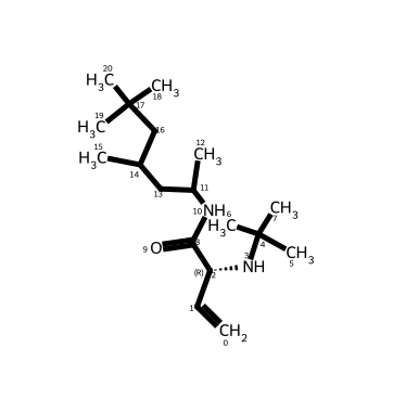 C=C[C@@H](NC(C)(C)C)C(=O)NC(C)CC(C)CC(C)(C)C